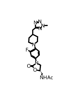 CC(=O)NC[C@H]1CN(c2ccc(N3CCC(Cc4nnn(C)n4)CC3)c(F)c2)C(=O)O1